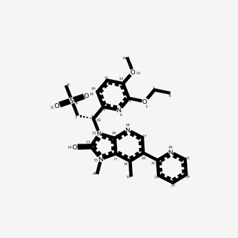 CCOc1nc([C@@H](CS(C)(=O)=O)n2c(=O)n(C)c3c(C)c(-c4ccccn4)cnc32)ccc1OC